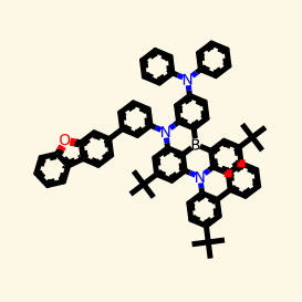 CC(C)(C)c1ccc2c(c1)B1c3ccc(N(c4ccccc4)c4ccccc4)cc3N(c3cccc(-c4ccc5c(c4)oc4ccccc45)c3)c3cc(C(C)(C)C)cc(c31)N2c1ccc(C(C)(C)C)cc1-c1ccccc1